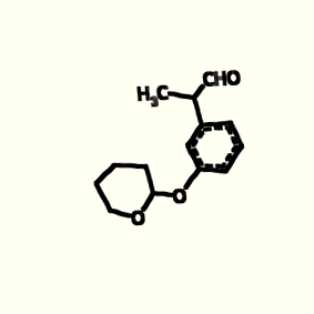 CC(C=O)c1cccc(OC2CCCCO2)c1